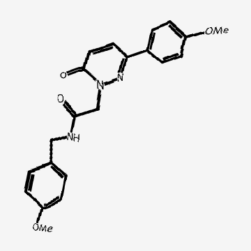 COc1ccc(CNC(=O)Cn2nc(-c3ccc(OC)cc3)ccc2=O)cc1